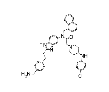 Cn1c(CCc2ccc(CN)cc2)nc2cc(N(Cc3cccc4ccccc34)C(=O)CN3CCC(Nc4ccc(Cl)cc4)CC3)ccc21